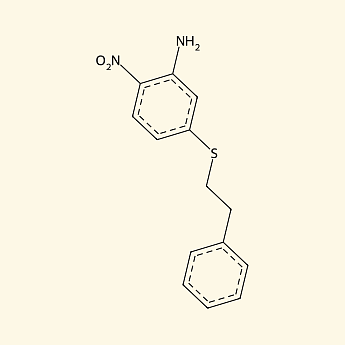 Nc1cc(SCCc2ccccc2)ccc1[N+](=O)[O-]